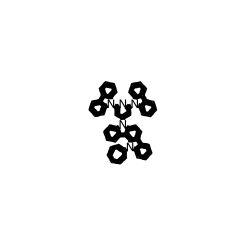 C1=CCC=CC(n2c3ccccc3c3ccc4c(c5ccccc5n4-c4cc(-n5c6ccccc6c6ccccc65)nc(-n5c6ccccc6c6ccccc65)c4)c32)=C1